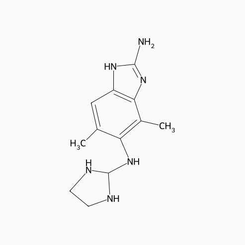 Cc1cc2[nH]c(N)nc2c(C)c1NC1NCCN1